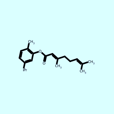 CC(C)=CCC/C(C)=C/C(=O)Oc1cc(C(C)C)ccc1C